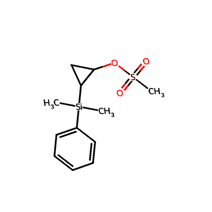 C[Si](C)(c1ccccc1)C1CC1OS(C)(=O)=O